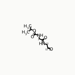 CC(C)OC(=O)NCC(=O)NCC=O